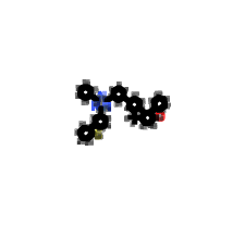 CC1(C)c2cc(-c3cccc(-c4nc(-c5ccccc5)nc(-c5ccc6sc7ccccc7c6c5)n4)c3)ccc2-c2c1ccc1oc3ccccc3c21